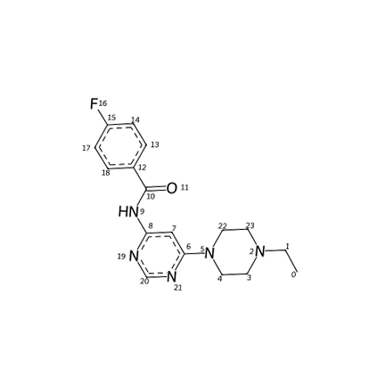 CCN1CCN(c2cc(NC(=O)c3ccc(F)cc3)ncn2)CC1